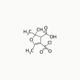 CC1=C(S(=O)(=O)Cl)C(C(=O)O)C(C)(C)O1